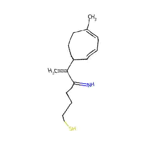 C=C(C(=N)CCCS)C1C=CC=C(C)CC1